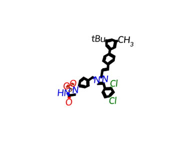 Cc1cc(-c2ccc(C=Cc3nc(-c4ccc(Cl)cc4Cl)cn3Cc3ccc(N4CC(=O)NS4(=O)=O)cc3)cc2)cc(C(C)(C)C)c1